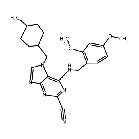 COc1ccc(CNc2nc(C#N)nc3ncn(CC4CCC(C)CC4)c23)c(OC)c1